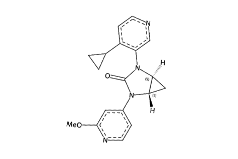 COc1cc(N2C(=O)N(c3cnccc3C3CC3)[C@H]3C[C@@H]32)ccn1